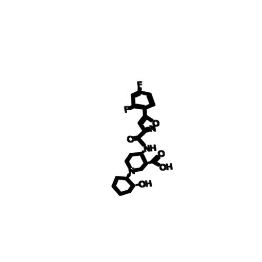 O=C(N[C@H]1CCN([C@@H]2CCCC[C@H]2O)C[C@@H]1C(=O)O)c1cc(-c2ccc(F)cc2F)on1